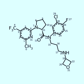 Cc1cc(C(F)(F)F)cc(N2CCC[C@H]2C(=O)N(CCCNC2COC2)c2ccc(F)c(Cl)c2)n1